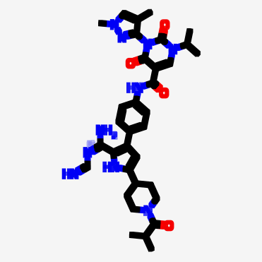 Cc1cn(C)nc1-n1c(=O)c(C(=O)Nc2ccc(-c3cc(C4CCN(C(=O)C(C)C)CC4)[nH]c3/C(N)=N\C=N)cc2)cn(C(C)C)c1=O